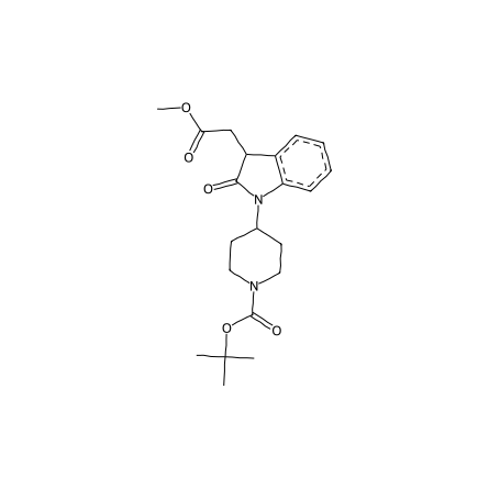 COC(=O)CC1C(=O)N(C2CCN(C(=O)OC(C)(C)C)CC2)c2ccccc21